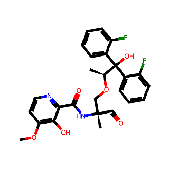 COc1ccnc(C(=O)N[C@@](C)(C=O)CO[C@@H](C)C(O)(c2ccccc2F)c2ccccc2F)c1O